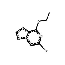 CCOc1nc(Br)cn2ccnc12